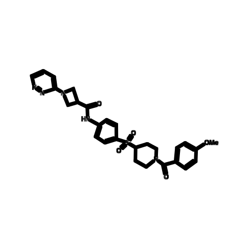 COc1ccc(C(=O)N2CCC(S(=O)(=O)c3ccc(NC(=O)C4CN(c5cccnn5)C4)cc3)CC2)cc1